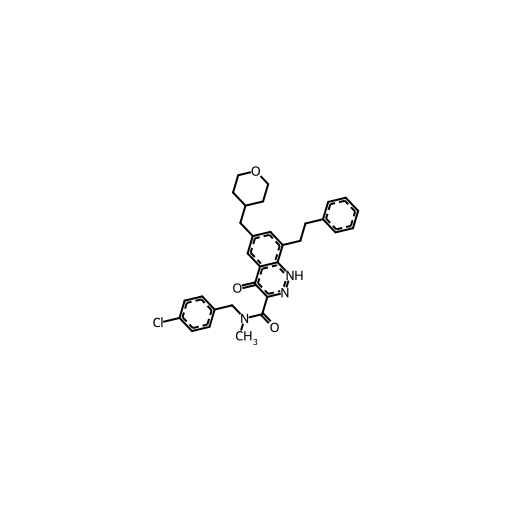 CN(Cc1ccc(Cl)cc1)C(=O)c1n[nH]c2c(CCc3ccccc3)cc(CC3CCOCC3)cc2c1=O